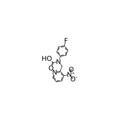 O=C(O)N(Cc1ncccc1[N+](=O)[O-])c1ccc(F)cc1